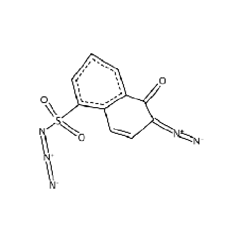 [N-]=[N+]=NS(=O)(=O)c1cccc2c1C=CC(=[N+]=[N-])C2=O